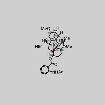 Br.CCN1C[C@]2(OC(=O)c3ccccc3NC(C)=O)CC[C@H](OC)[C@]34C1[C@H](C[C@H]23)[C@@]1(O)C[C@H](OC)[C@H]2C[C@@H]4[C@]1(O)[C@H]2OC